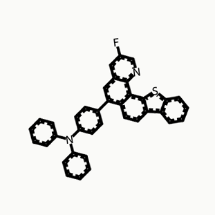 Fc1cnc2c(c1)cc(-c1ccc(N(c3ccccc3)c3ccccc3)cc1)c1ccc3c4ccccc4sc3c12